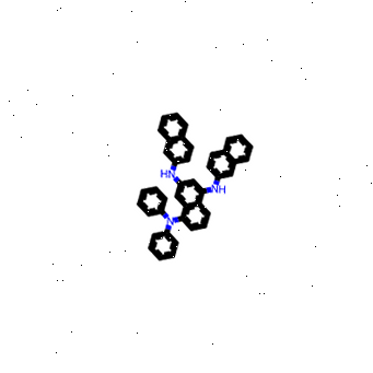 c1ccc(N(c2ccccc2)c2cccc3c(Nc4ccc5ccccc5c4)cc(Nc4ccc5ccccc5c4)cc23)cc1